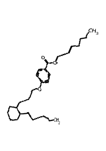 CCCCCCCOC(=O)c1ccc(OCCCC2CCCCC2CCCCC)cc1